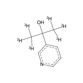 [2H]C([2H])([2H])C(O)(c1cccnc1)C([2H])([2H])[2H]